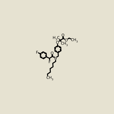 CCCCCCCN(Cc1ccc(OC(C)(C)C(=O)OCC)cc1)C(=O)C(F)c1ccc(F)cc1